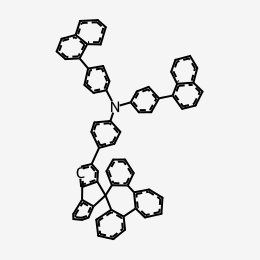 c1ccc2c(c1)-c1ccccc1C1(c3ccccc3-2)c2ccccc2-c2ccc(-c3ccc(N(c4ccc(-c5cccc6ccccc56)cc4)c4ccc(-c5cccc6ccccc56)cc4)cc3)cc21